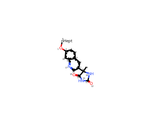 CCCCCCCOc1ccc2cc(C3(C)NC(=O)NC3=O)cnc2c1